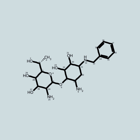 C[C@@H](O)C1OC(OC2C(N)CC(NCc3ccccc3)C(O)C2O)C(N)C(O)C1O